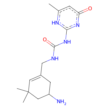 Cc1cc(=O)nc(NC(=O)NCC2=CC(C)(C)CC(N)C2)[nH]1